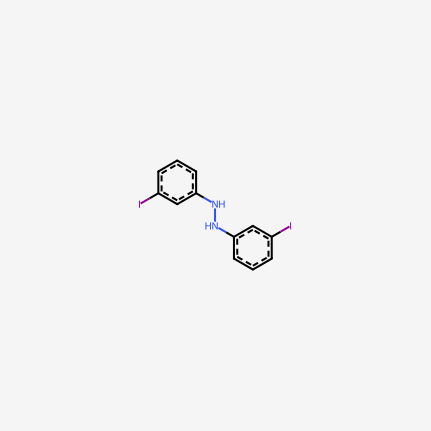 Ic1cccc(NNc2cccc(I)c2)c1